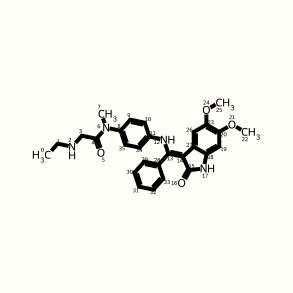 CCNCC(=O)N(C)c1ccc(NC(=C2C(=O)Nc3cc(OC)c(OC)cc32)c2ccccc2)cc1